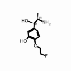 C[C@@H](N)[C@H](O)c1ccc(OCCF)c(O)c1